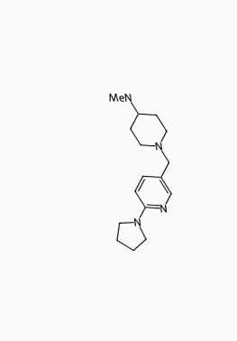 CNC1CCN(Cc2ccc(N3CCCC3)nc2)CC1